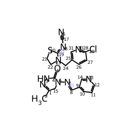 CC1=NNC(=O)N(/N=C/c2cccnc2)C1.N#C/N=C1\SCCN1Cc1ccc(Cl)nc1